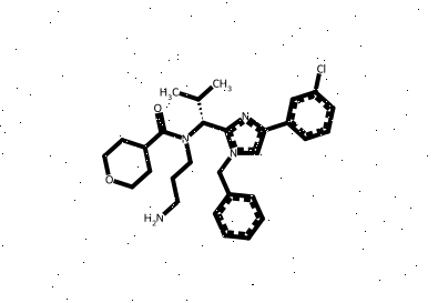 CC(C)[C@H](c1nc(-c2cccc(Cl)c2)cn1Cc1ccccc1)N(CCCN)C(=O)C1CCOCC1